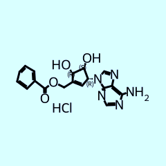 Cl.Nc1ncnc2c1ncn2[C@@H]1C=C(COC(=O)c2ccccc2)[C@@H](O)[C@H]1O